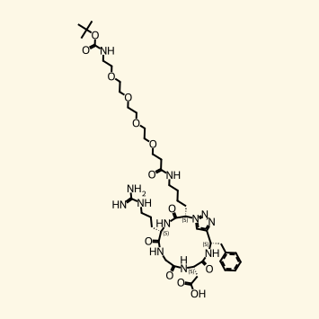 CC(C)(C)OC(=O)NCCOCCOCCOCCOCCC(=O)NCCCC[C@H]1C(=O)N[C@@H](CCCNC(=N)N)C(=O)NCC(=O)N[C@@H](CC(=O)O)C(=O)N[C@@H](Cc2ccccc2)c2cn1nn2